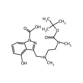 CN(CCN(C)C(=O)OC(C)(C)C)Cc1nn(C(=O)O)c2cccc(O)c12